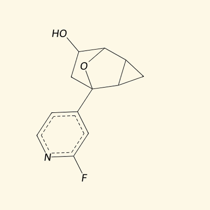 OC1CC2(c3ccnc(F)c3)OC1C1CC12